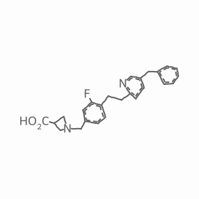 O=C(O)C1CN(Cc2ccc(CCc3ccc(Cc4ccccc4)cn3)c(F)c2)C1